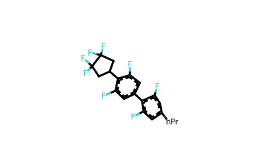 CCCc1cc(F)c(-c2cc(F)c(C3CC(F)(F)C(F)(F)C3)c(F)c2)c(F)c1